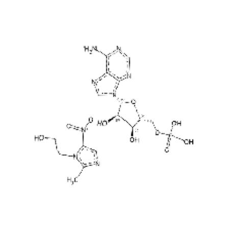 Cc1ncc([N+](=O)[O-])n1CCO.Nc1ncnc2c1ncn2[C@@H]1O[C@H](COP(=O)(O)O)[C@@H](O)[C@H]1O